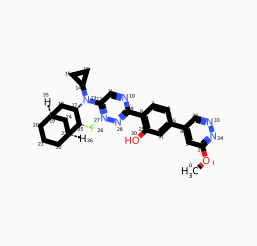 COc1cc(-c2ccc(-c3ncc(N(C4CC4)[C@H]4C[C@@H]5CCC[C@@H](C5)[C@H]4F)nn3)c(O)c2)cnn1